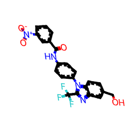 O=C(Nc1ccc(-n2c(C(F)(F)F)nc3cc(CO)ccc32)cc1)c1cccc([N+](=O)[O-])c1